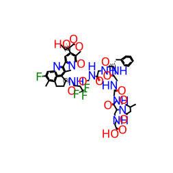 CC[C@@]1(O)C(=O)OCc2c1cc1n(c2=O)Cc2c-1nc1cc(F)c(C)c3c1c2[C@H](NC(=O)C(OCNC(=O)CNC(=O)[C@H](Cc1ccccc1)NC(=O)CNC(=O)CNC(=O)C(CNCC(=O)O)N1C(=O)CC(C)C1=O)C(F)(F)F)CC3